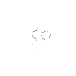 Cc1ccc(C(C)(C)C)c2cccnc12